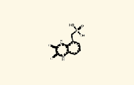 O=c1[nH]c2cccc(CP(=O)(O)O)c2[nH]c1=O